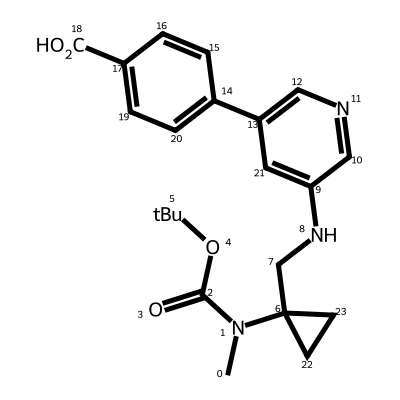 CN(C(=O)OC(C)(C)C)C1(CNc2cncc(-c3ccc(C(=O)O)cc3)c2)CC1